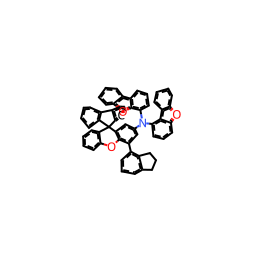 c1ccc2c(c1)Oc1c(-c3cccc4c3CCC4)cc(N(c3cccc4c3oc3ccccc34)c3cccc4oc5ccccc5c34)cc1C21c2ccccc2-c2ccccc21